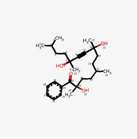 CC(C)CCC(C)(O)C#CC(C)(O)CCC(C)CCC(C)(O)C(=O)c1ccccc1